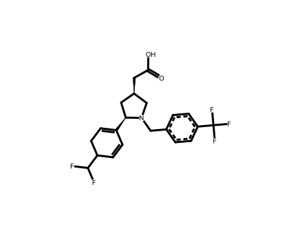 O=C(O)C[C@@H]1C[C@H](C2=CCC(C(F)F)C=C2)N(Cc2ccc(C(F)(F)F)cc2)C1